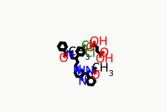 CC(=O)Nc1c2c(nc3c1CN(CCC(CN(C)C(=O)c1ccccc1)c1ccc(Cl)c(Cl)c1)CC3)CCCC2.O=C(O)/C=C/C(=O)O